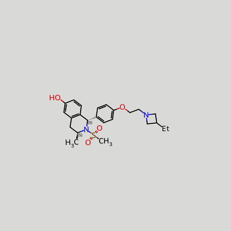 CCC1CN(CCOc2ccc([C@H]3c4ccc(O)cc4C[C@H](C)N3S(C)(=O)=O)cc2)C1